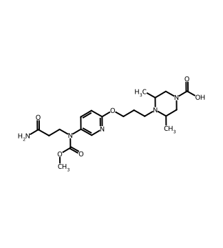 COC(=O)N(CCC(N)=O)c1ccc(OCCCN2C(C)CN(C(=O)O)CC2C)nc1